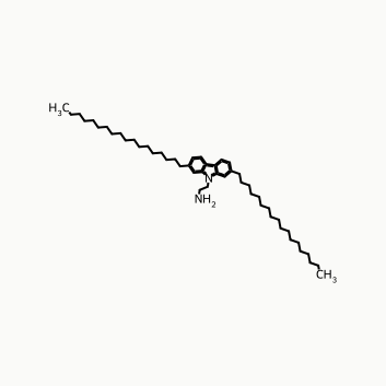 CCCCCCCCCCCCCCCCCCc1ccc2c3ccc(CCCCCCCCCCCCCCCCCC)cc3n(CCN)c2c1